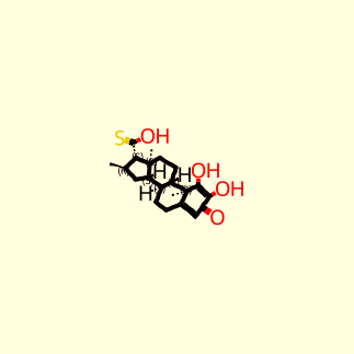 C[C@@H]1C[C@H]2[C@@H]3CCC4=CC(=O)C(O)=C(O)[C@]4(C)[C@H]3CC[C@]2(C)[C@H]1C(O)=S